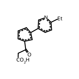 CCc1ccc(-c2cccc(C(=O)CC(=O)O)c2)cn1